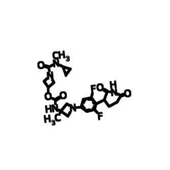 CN(C(=O)N1CC(OC(=O)NC2(C)CN(c3cc(F)c(C4CCC(=O)NC4=O)c(F)c3)C2)C1)C1CC1